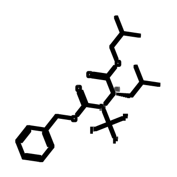 CC(C)COC(=O)[C@H](CC(C)C)N(C(=O)OCc1ccccc1)C(F)(F)F